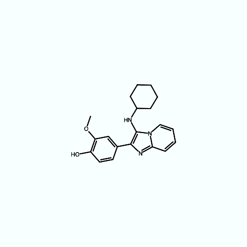 COc1cc(-c2nc3ccccn3c2NC2CCCCC2)ccc1O